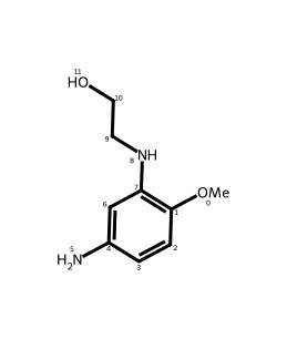 COc1ccc(N)cc1NCCO